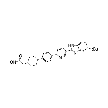 CC(C)(C)C1C=c2nc(-c3ccc(-c4ccc(C5CCC(CC(=O)N=O)CC5)cc4)nc3)[nH]c2=CC1